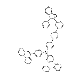 c1ccc(-c2ccccc2-c2ccc(N(c3ccc(-c4ccc(-c5cccc(-c6oc7ccccc7c6-c6ccccc6)c5)cc4)cc3)c3ccc(-c4cc5ccccc5c5ccccc45)cc3)cc2)cc1